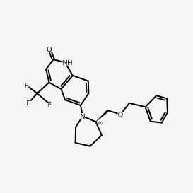 O=c1cc(C(F)(F)F)c2cc(N3CCCC[C@@H]3COCc3ccccc3)ccc2[nH]1